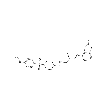 COc1ccc(S(=O)(=O)N2CCC(CNC[C@@H](O)COc3cccc4c3CC(=O)N4)CC2)cc1